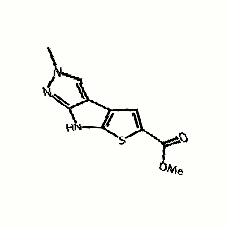 COC(=O)c1cc2c([nH]c3nn(C)cc32)s1